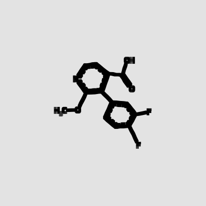 COc1nccc(C(=O)O)c1-c1ccc(F)c(F)c1